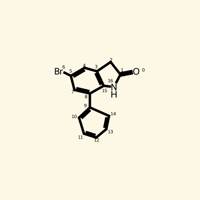 O=C1Cc2cc(Br)cc(-c3ccccc3)c2N1